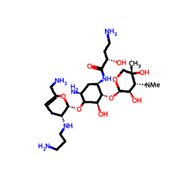 CN[C@@H]1[C@@H](O)[C@@H](O[C@H]2[C@H](NC(=O)[C@@H](O)CCN)C[C@H](N)C(O[C@H]3OC(CN)=CC[C@H]3NCCCN)[C@@H]2O)OC[C@]1(C)O